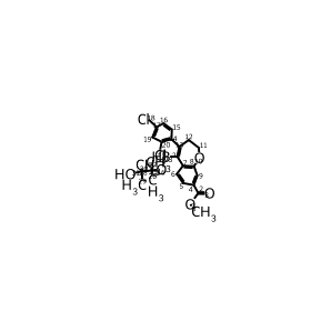 COC(=O)c1ccc2c(c1)OCCC(c1ccc(Cl)cc1Cl)=C2BOC(C)(C)C(C)(C)O